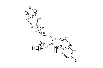 Cl.Cl.Clc1ccc2c(N[C@H]3CC[C@H](NCc4ccc5c(c4)OCO5)CC3)ccnc2c1